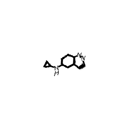 c1cc2c(nn1)CCC(NC1CC1)C2